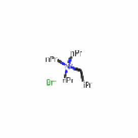 CCC[N+](CCC)(CCC)CC(C)C.[Br-]